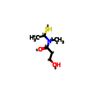 CC(S)N(C)C(=O)CCO